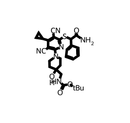 CC(C)(C)OC(=O)NCC1(O)CCN(c2nc(SC(C(N)=O)c3ccccc3)c(C#N)c(C3CC3)c2C#N)CC1